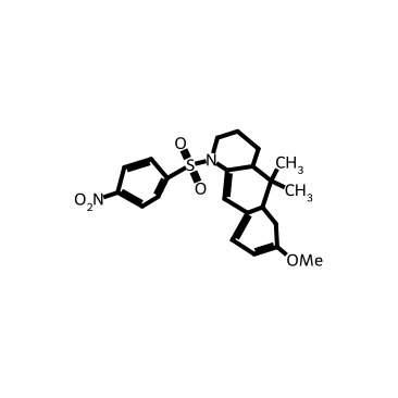 COC1=CC=C2C=C3C(CCCN3S(=O)(=O)c3ccc([N+](=O)[O-])cc3)C(C)(C)C2C1